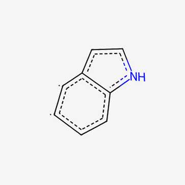 [c]1[c]c2cc[nH]c2cc1